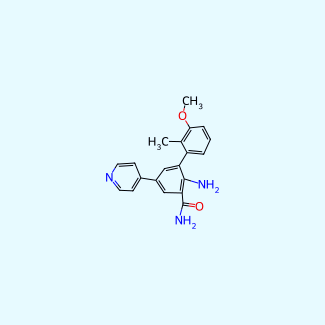 COc1cccc(-c2cc(-c3ccncc3)cc(C(N)=O)c2N)c1C